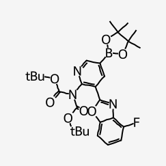 CC(C)(C)OC(=O)N(C(=O)OC(C)(C)C)c1ncc(B2OC(C)(C)C(C)(C)O2)cc1-c1nc2c(F)cccc2o1